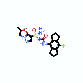 CC1Cn2ncc(S(N)(=O)=NC(=O)Nc3c4c(c(F)c5c3CCC5)CCC4)c2O1